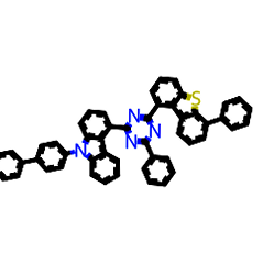 c1ccc(-c2ccc(-n3c4ccccc4c4c(-c5nc(-c6ccccc6)nc(-c6cccc7sc8c(-c9ccccc9)cccc8c67)n5)cccc43)cc2)cc1